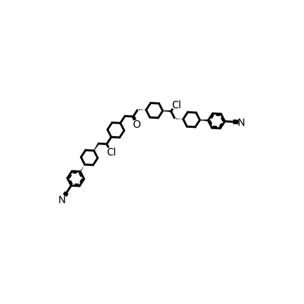 N#Cc1ccc([C@H]2CC[C@H](CC(Cl)C3CCC(CC(=O)C[C@H]4CC[C@H](C(Cl)C[C@H]5CC[C@H](c6ccc(C#N)cc6)CC5)CC4)CC3)CC2)cc1